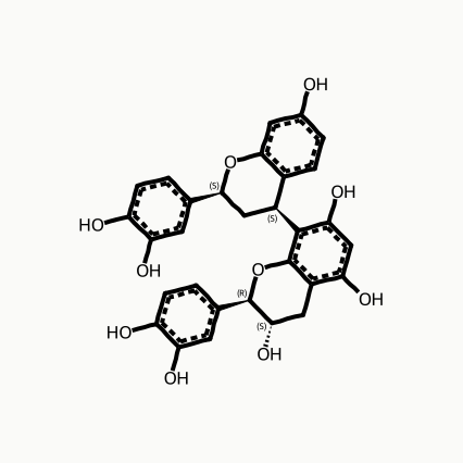 Oc1ccc2c(c1)O[C@H](c1ccc(O)c(O)c1)C[C@@H]2c1c(O)cc(O)c2c1O[C@H](c1ccc(O)c(O)c1)[C@@H](O)C2